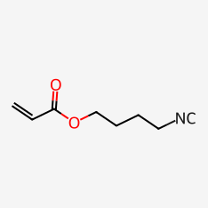 [C-]#[N+]CCCCOC(=O)C=C